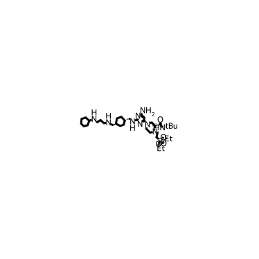 CCOP(=O)(CCN1CCN(c2cc(N)nc(NC[C@H]3CC[C@H](CNCCCNC4CCCCC4)CC3)n2)C[C@H]1C(=O)NC(C)(C)C)OCC